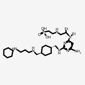 CCC(CNCCP(=O)(O)O)N(CC)c1cc(N)nc(NC[C@H]2CC[C@H](CNCCCNC3CCCCC3)CC2)n1